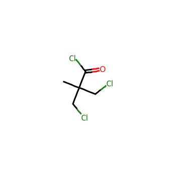 CC(CCl)(CCl)C(=O)Cl